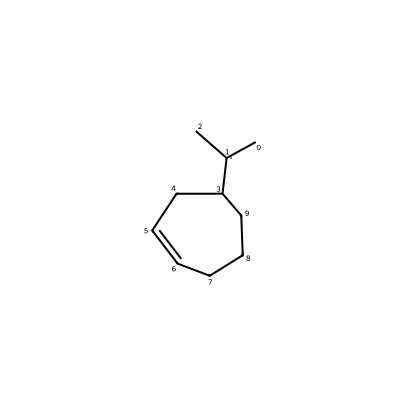 C[C](C)C1CC=CCCC1